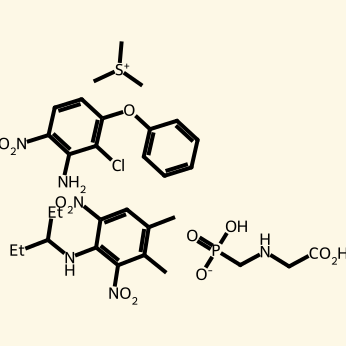 CCC(CC)Nc1c([N+](=O)[O-])cc(C)c(C)c1[N+](=O)[O-].C[S+](C)C.Nc1c([N+](=O)[O-])ccc(Oc2ccccc2)c1Cl.O=C(O)CNCP(=O)([O-])O